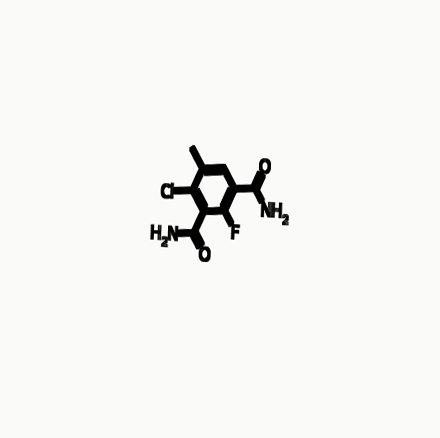 Cc1cc(C(N)=O)c(F)c(C(N)=O)c1Cl